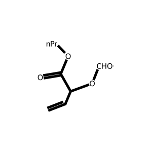 C=CC(O[C]=O)C(=O)OCCC